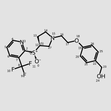 [O-][S@@+](c1ncccc1C(F)(F)F)[C@H]1CCN(CCOc2ccc(CO)cc2)C1